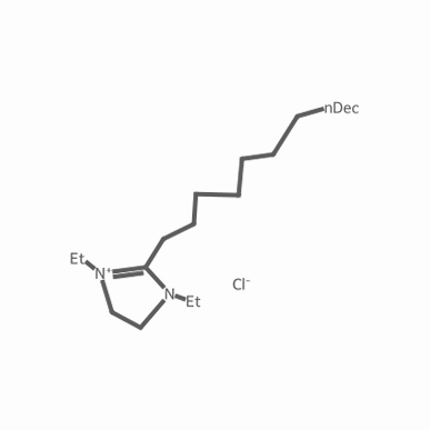 CCCCCCCCCCCCCCCCCC1=[N+](CC)CCN1CC.[Cl-]